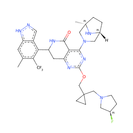 Cc1cc2[nH]ncc2c(C2Cc3nc(OCC4(CN5CC[C@@H](F)C5)CC4)nc(N4C[C@H]5CC[C@](C)(C4)N5)c3C(=O)N2)c1C(F)(F)F